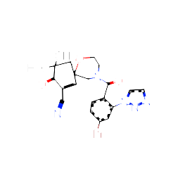 CC1(C)CC2(C=C(C#N)C1=O)CN(C(=O)c1ccc(Br)cc1-n1ccnn1)CCO2